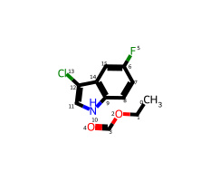 CCOC=O.Fc1ccc2[nH]cc(Cl)c2c1